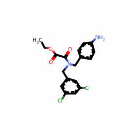 CCOC(=O)C(=O)N(Cc1ccc(N)cc1)Cc1cc(Cl)cc(Cl)c1